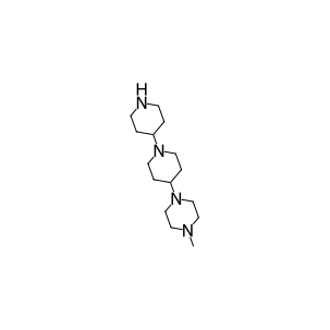 CN1CCN(C2CCN(C3CCNCC3)CC2)CC1